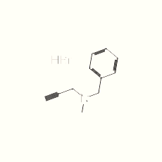 Br.C#CCN(C)Cc1ccccc1